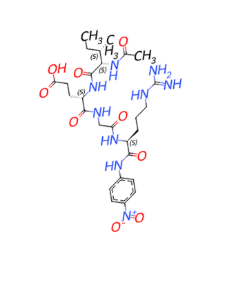 CC[C@H](C)[C@H](NC(C)=O)C(=O)N[C@@H](CCC(=O)O)C(=O)NCC(=O)N[C@@H](CCCNC(=N)N)C(=O)Nc1ccc([N+](=O)[O-])cc1